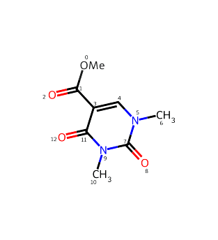 COC(=O)c1cn(C)c(=O)n(C)c1=O